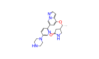 C[C@@H](Oc1cc(-c2ccc(N3CCNCC3)cn2)cn2nccc12)C1CNC(=O)C1